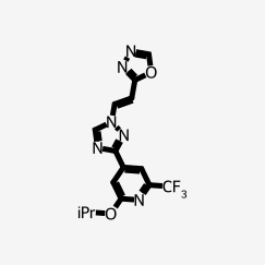 CC(C)Oc1cc(-c2ncn(C=Cc3nnco3)n2)cc(C(F)(F)F)n1